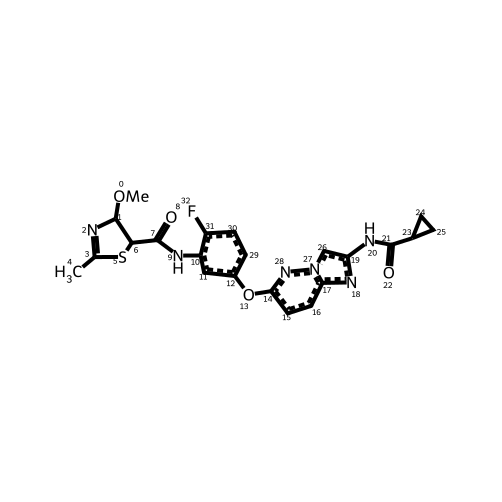 COC1N=C(C)SC1C(=O)Nc1cc(Oc2ccc3nc(NC(=O)C4CC4)cn3n2)ccc1F